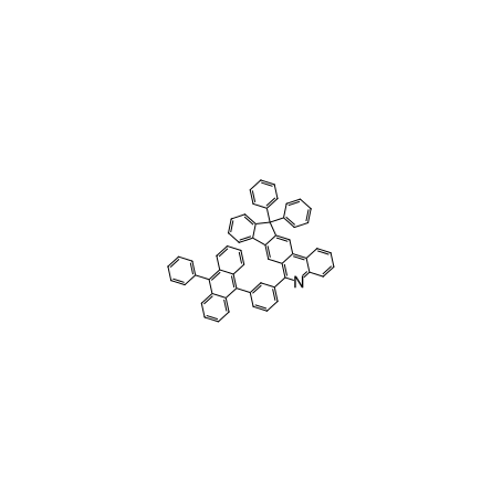 c1ccc(-c2c3ccccc3c(-c3cccc(-c4nc5ccccc5c5cc6c(cc45)-c4ccccc4C6(c4ccccc4)c4ccccc4)c3)c3ccccc23)cc1